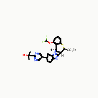 CCOC(=O)C1Sc2cccc(OC(F)F)c2[C@H]2C[C@@H]1c1nc3ccc(-c4cnc(C(C)(C)O)nc4)cc3n12